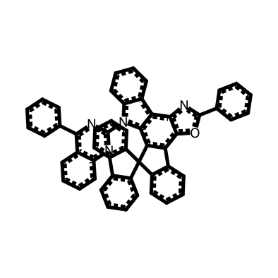 c1ccc(-c2nc3c(o2)c2c(c4c3c3ccccc3n4-c3nc(-c4ccccc4)c4ccccc4n3)C3(c4ccccc4-c4ccccc43)c3ccccc3-2)cc1